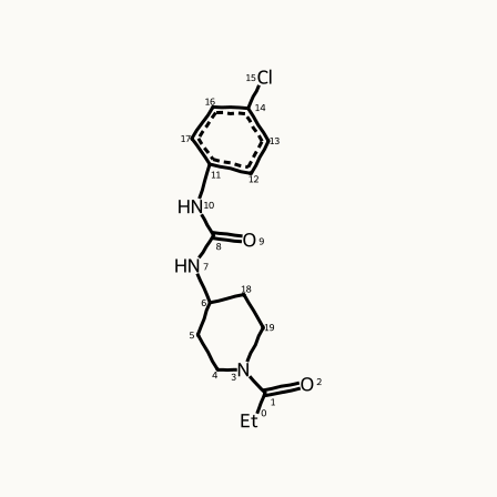 CCC(=O)N1CCC(NC(=O)Nc2ccc(Cl)cc2)CC1